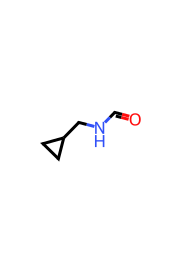 O=CNCC1CC1